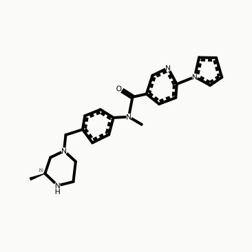 C[C@H]1CN(Cc2ccc(N(C)C(=O)c3ccc(-n4cccc4)nc3)cc2)CCN1